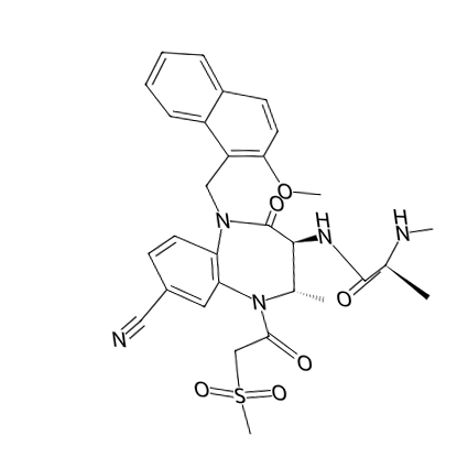 CN[C@@H](C)C(=O)N[C@@H]1C(=O)N(Cc2c(OC)ccc3ccccc23)c2ccc(C#N)cc2N(C(=O)CS(C)(=O)=O)[C@H]1C